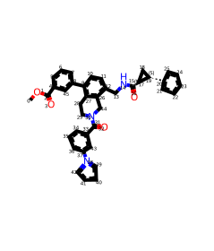 COC(=O)c1cccc(-c2ccc(CNC(=O)[C@@H]3C[C@@H]3c3ccccc3)c3c2CCN(C(=O)c2cccc(-n4cccc4)c2)C3)c1